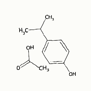 CC(=O)O.CC(C)c1ccc(O)cc1